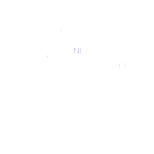 CC(C)(C)OC(=O)NC/C(=C/Cl)CCc1ccccc1